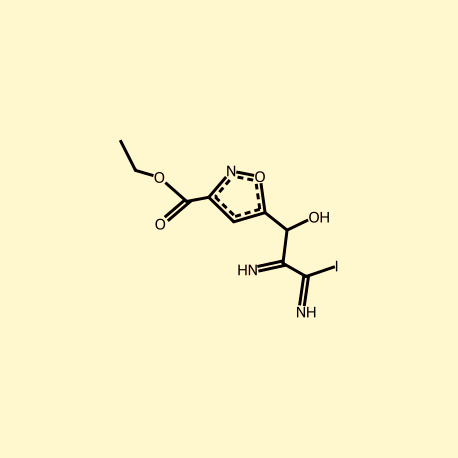 CCOC(=O)c1cc(C(O)C(=N)C(=N)I)on1